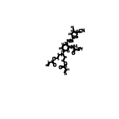 C=CC(=O)OCCN(CCOC(=O)C=C)c1ccc(N=NN2CC(C)=C(C#N)S2)c(NC(=O)C(C)C)c1